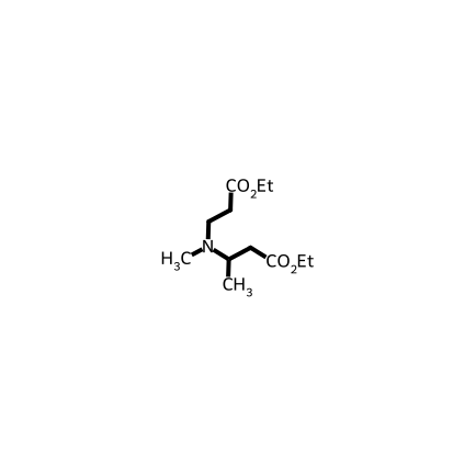 CCOC(=O)CCN(C)C(C)CC(=O)OCC